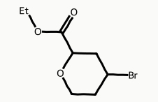 CCOC(=O)C1CC(Br)CCO1